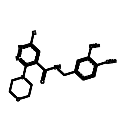 COc1ccc(CNC(=O)c2cc(Cl)nnc2N2CCOCC2)cc1OC